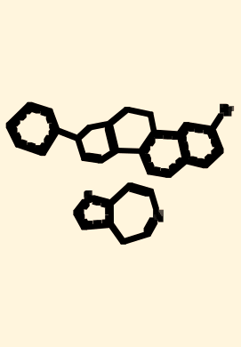 Brc1ccc2ccc3c(c2c1)CCC1=C3C=CC(c2ccccc2)C1.C1=Cc2sccc2CC=N1